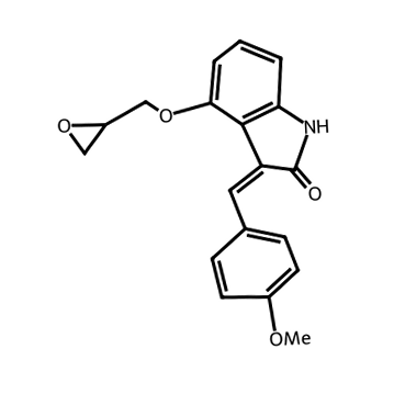 COc1ccc(/C=C2\C(=O)Nc3cccc(OCC4CO4)c32)cc1